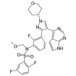 COCN(c1cccc(-c2nn(C3CCOCC3)cc2-c2ncnc3[nH]ccc23)c1F)S(=O)(=O)c1cc(F)ccc1F